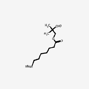 CCCCCCCCCCCCCCCC(=O)OCC(C)(C)C=O